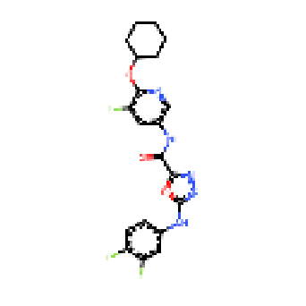 O=C(Nc1cnc(OC2CCCCC2)c(F)c1)c1nnc(Nc2ccc(F)c(F)c2)o1